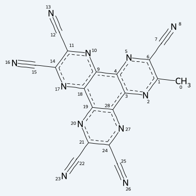 Cc1nc2c(nc1C#N)c1nc(C#N)c(C#N)nc1c1nc(C#N)c(C#N)nc21